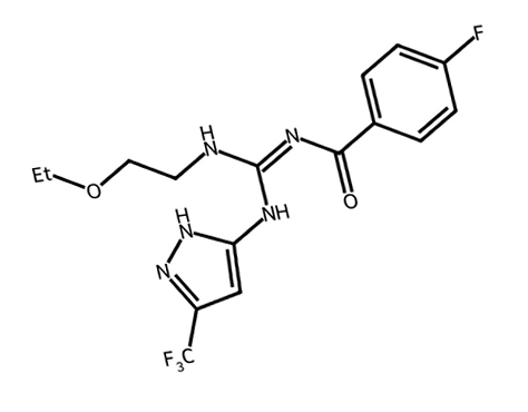 CCOCCN/C(=N/C(=O)c1ccc(F)cc1)Nc1cc(C(F)(F)F)n[nH]1